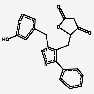 O=C1CC(=O)C(Cc2c(-c3ccccc3)ncn2Cc2cccc(O)c2)O1